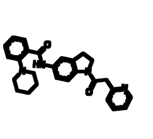 O=C(Nc1ccc2c(c1)CCN2C(=O)Cc1ccccn1)c1ccccc1N1CCCCC1